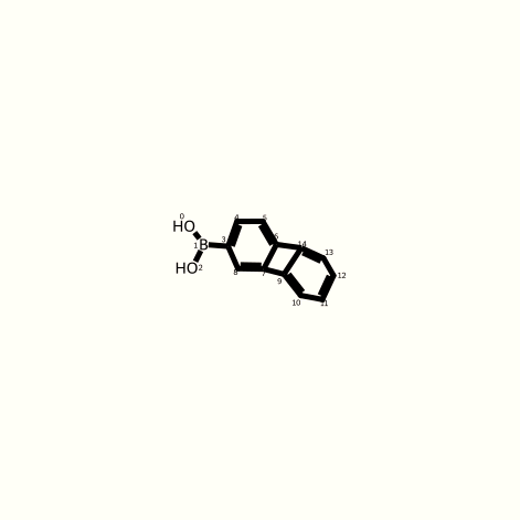 OB(O)c1ccc2c(c1)-c1ccccc1-2